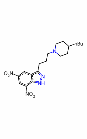 CCCCC1CCN(CCCc2n[nH]c3c([N+](=O)[O-])cc([N+](=O)[O-])cc23)CC1